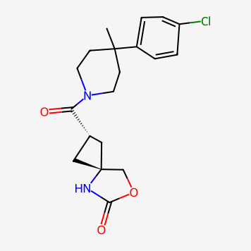 CC1(c2ccc(Cl)cc2)CCN(C(=O)[C@H]2C[C@]3(COC(=O)N3)C2)CC1